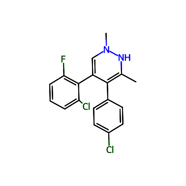 CC1=C(c2ccc(Cl)cc2)C(c2c(F)cccc2Cl)=CN(C)N1